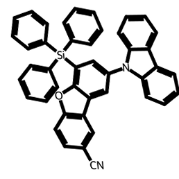 N#Cc1ccc2oc3c([Si](c4ccccc4)(c4ccccc4)c4ccccc4)cc(-n4c5ccccc5c5ccccc54)cc3c2c1